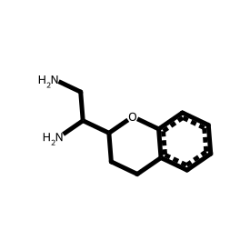 NCC(N)C1CCc2ccccc2O1